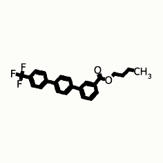 CCCCOC(=O)c1cccc(-c2ccc(-c3ccc(C(F)(F)F)cc3)cc2)c1